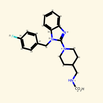 O=C(O)NCC1CCN(c2nc3ccccc3n2Cc2ccc(F)cc2)CC1